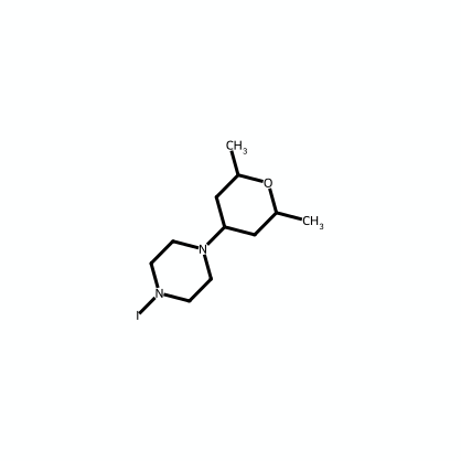 CC1CC(N2CCN(I)CC2)CC(C)O1